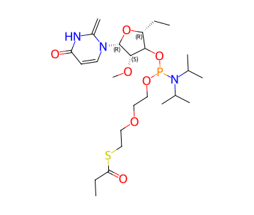 C=C1NC(=O)C=CN1[C@@H]1O[C@H](CC)C(OP(OCCOCCSC(=O)CC)N(C(C)C)C(C)C)[C@@H]1OC